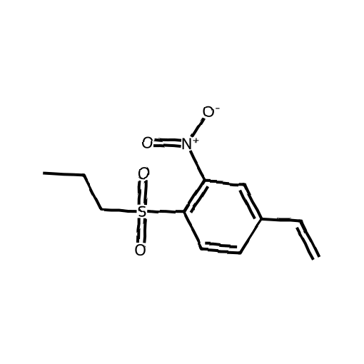 C=Cc1ccc(S(=O)(=O)CCC)c([N+](=O)[O-])c1